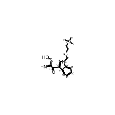 C[Si](C)(C)CCOCn1cc(C(=O)C(=N)SO)c2ccccc21